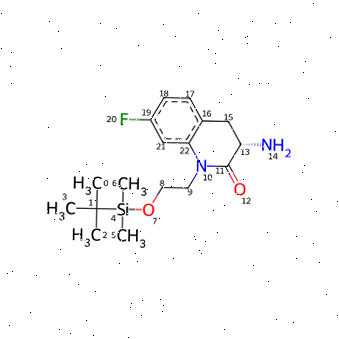 CC(C)(C)[Si](C)(C)OCCN1C(=O)[C@@H](N)Cc2ccc(F)cc21